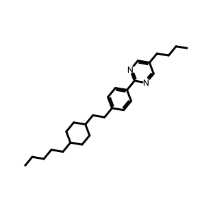 CCCCCC1CCC(CCc2ccc(-c3ncc(CCCC)cn3)cc2)CC1